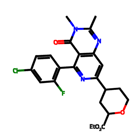 CCOC(=O)C1CC(c2cc3nc(C)n(C)c(=O)c3c(-c3ccc(Cl)cc3F)n2)CCO1